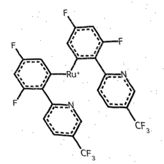 Fc1cc(F)c(-c2ccc(C(F)(F)F)cn2)[c]([Ru+][c]2cc(F)cc(F)c2-c2ccc(C(F)(F)F)cn2)c1